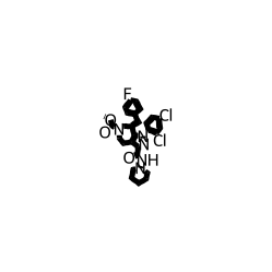 COC(=O)N1CCc2c(C(=O)NN3CCCCC3)nn(-c3ccc(Cl)cc3Cl)c2C(=Cc2ccc(F)cc2)C1